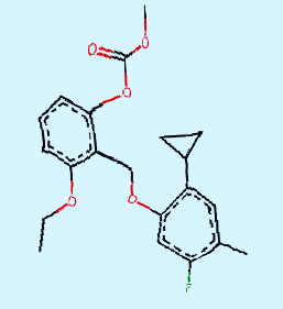 CCOc1cccc(OC(=O)OC)c1COc1cc(F)c(C)cc1C1CC1